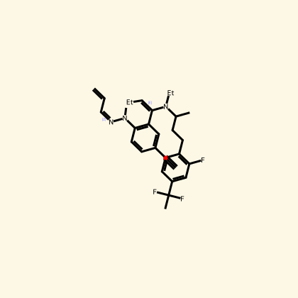 C#Cc1ccc(N(C)/N=C\C=C)c(/C(=C\CC)N(CC)C(C)CCc2ncc(C(C)(F)F)cc2F)c1